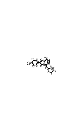 Cc1nnc(CC2CCCSC2)c2cc(-c3ccc(Cl)cc3)sc12